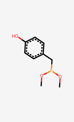 COP(Cc1ccc(O)cc1)OC